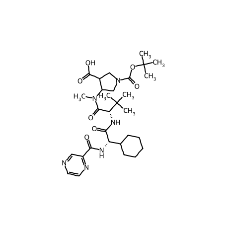 CN(C(=O)[C@@H](NC(=O)[C@@H](NC(=O)c1cnccn1)C1CCCCC1)C(C)(C)C)C1CN(C(=O)OC(C)(C)C)CC1C(=O)O